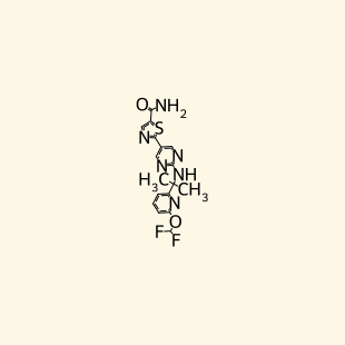 CC(C)(Nc1ncc(-c2ncc(C(N)=O)s2)cn1)c1cccc(OC(F)F)n1